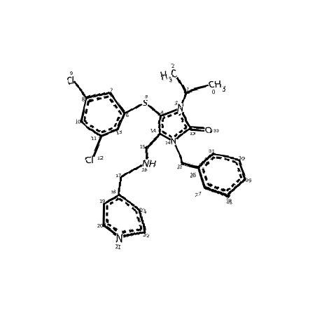 CC(C)n1c(Sc2cc(Cl)cc(Cl)c2)c(CNCc2ccncc2)n(Cc2ccccc2)c1=O